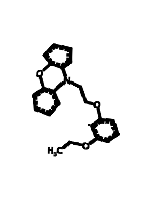 CCOc1[c]c(OCCN2c3ccccc3Oc3ccccc32)ccc1